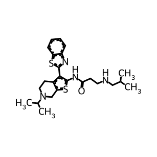 CC(C)CNCCC(=O)Nc1sc2c(c1-c1nc3ccccc3s1)CCN(C(C)C)C2